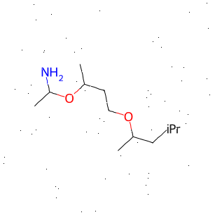 CC(C)CC(C)OCCC(C)OC(C)N